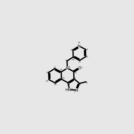 Cc1n[nH]c2c1c(=O)n(Cc1cccnc1)c1ccccc21